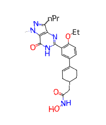 CCCc1nn(C)c2c(=O)[nH]c(-c3cc(C4=CCC(CC(=O)NO)CC4)ccc3OCC)nc12